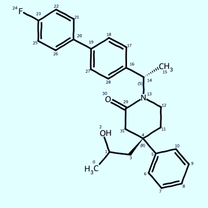 CC(O)C[C@]1(c2ccccc2)CCN([C@@H](C)c2ccc(-c3ccc(F)cc3)cc2)C(=O)C1